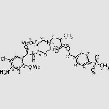 COc1nc(N)c(Cl)cc1C(=O)N[C@H]1CCN(CC(C)C(=O)OCc2ccc(S(C)(=O)=O)cc2)C[C@H]1OC